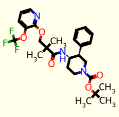 CC(C)(C)OC(=O)N1CC[C@H](NC(=O)C(C)(C)COc2ncccc2OC(F)(F)F)[C@@H](c2ccccc2)C1